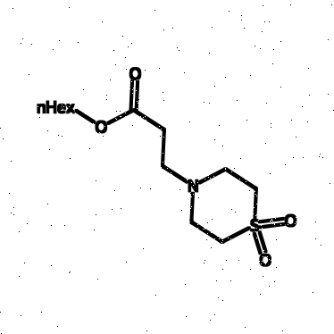 CCCCCCOC(=O)CCN1CCS(=O)(=O)CC1